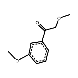 COCC(=O)c1cccc(OC)c1